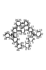 c1ccc(-c2ccc(N(c3ccccc3)c3ccc(-c4cccc(-c5cccc(-c6ccc(N(c7ccccc7)c7ccc(-c8ccccc8)cc7)cc6-c6ccccc6)c5)c4)cc3)cc2)cc1